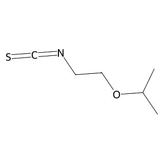 CC(C)OCCN=C=S